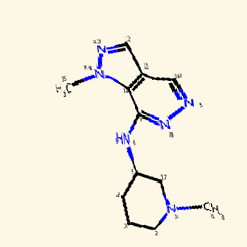 CN1CCC[C@@H](Nc2nncc3cnn(C)c23)C1